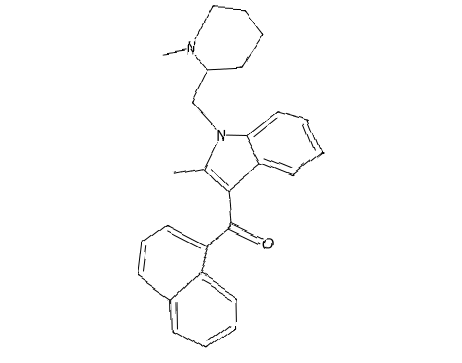 Cc1c(C(=O)c2cccc3ccccc23)c2ccccc2n1CC1CCCCN1C